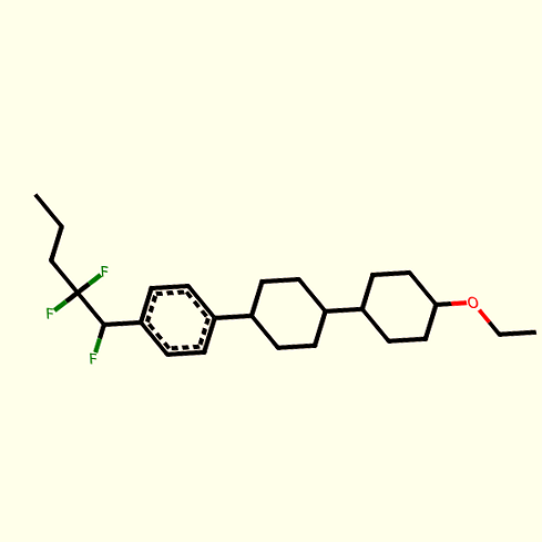 CCCC(F)(F)C(F)c1ccc(C2CCC(C3CCC(OCC)CC3)CC2)cc1